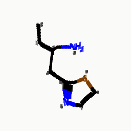 CCC(N)Cc1nccs1